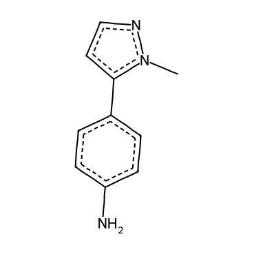 Cn1nccc1-c1ccc(N)cc1